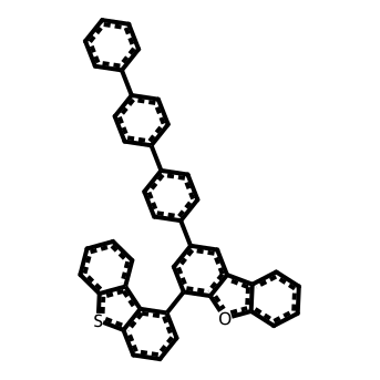 c1ccc(-c2ccc(-c3ccc(-c4cc(-c5cccc6sc7ccccc7c56)c5oc6ccccc6c5c4)cc3)cc2)cc1